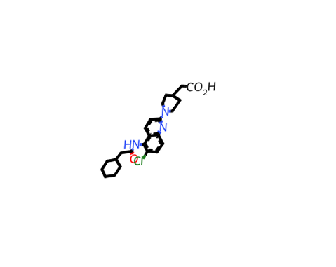 O=C(O)CC1CCN(c2ccc3c(NC(=O)CC4CCCCC4)c(Cl)ccc3n2)CC1